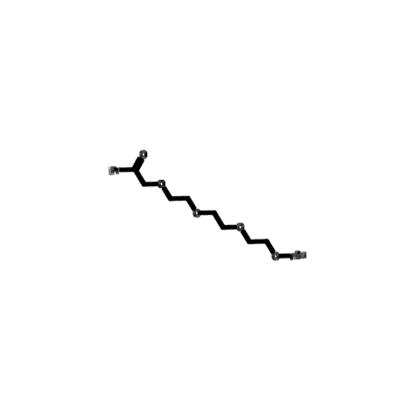 CCCCOCCOCCOCCOCC(=O)C(C)C